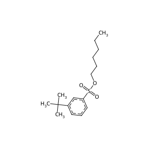 CCCCCCOS(=O)(=O)c1cccc(C(C)(C)C)c1